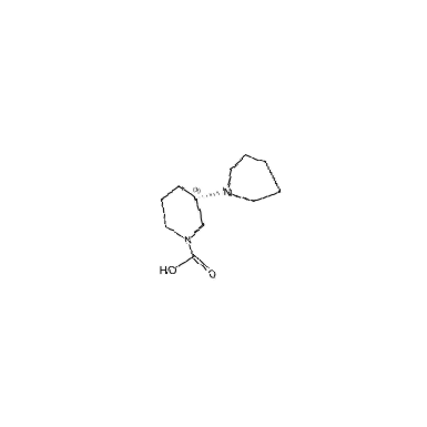 O=C(O)N1CCC[C@H](N2CCCCC2)C1